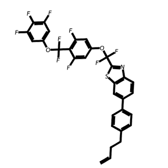 C=CCCc1ccc(-c2ccc3nc(C(F)(F)Oc4cc(F)c(C(F)(F)Oc5cc(F)c(F)c(F)c5)c(F)c4)sc3c2)cc1